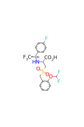 O=C(O)C(CS(=O)(=O)Cc1ccccc1OC(F)F)N[C@H](c1ccc(F)cc1)C(F)(F)F